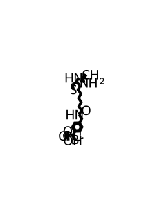 C=C1NC2CSC(CCCCC(=O)NCc3ccc(C(Br)P(=O)(O)O)cc3)C2N1